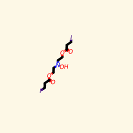 O=C(CCI)OCCN(O)CCOC(=O)CCI